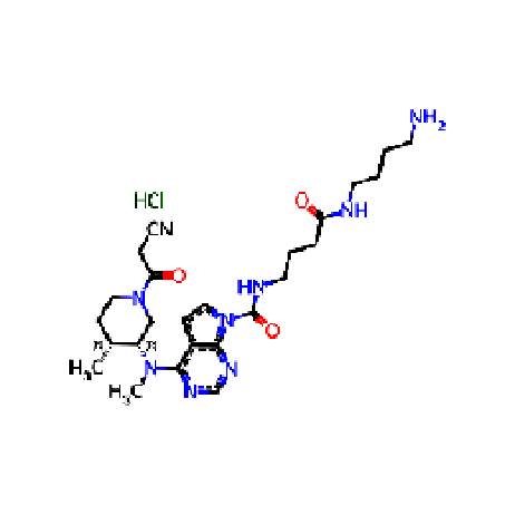 C[C@@H]1CCN(C(=O)CC#N)C[C@@H]1N(C)c1ncnc2c1ccn2C(=O)NCCCC(=O)NCCCCN.Cl